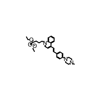 CCOP(=O)(CCC[n+]1ccc(C=Cc2ccc(N3CCN(C)CC3)cc2)c2ccccc21)OCC